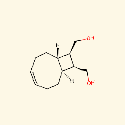 OC[C@@H]1[C@H](CO)[C@H]2CC/C=C\CC[C@H]12